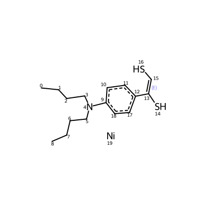 CCCCN(CCCC)c1ccc(/C(S)=C\S)cc1.[Ni]